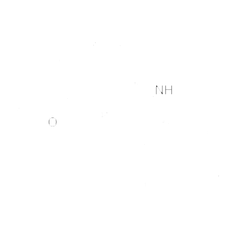 COc1cc[c]c(Nc2ccccc2)c1